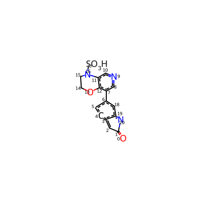 O=C1C=c2ccc(-c3cncc4c3OCCN4S(=O)(=O)O)cc2=N1